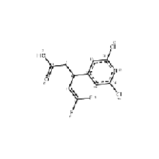 O=C(O)CC(C=C(F)F)c1cc(Cl)nc(Cl)c1